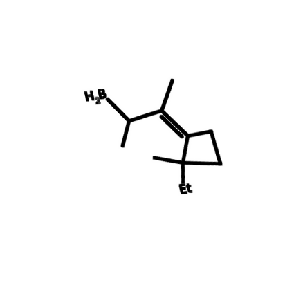 BC(C)/C(C)=C1/CCC1(C)CC